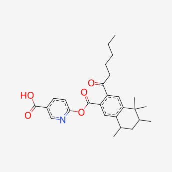 CCCCCC(=O)c1cc2c(cc1C(=O)Oc1ccc(C(=O)O)cn1)C(C)CC(C)C2(C)C